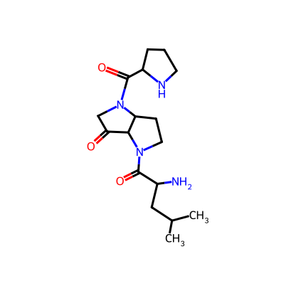 CC(C)CC(N)C(=O)N1CCC2C1C(=O)CN2C(=O)C1CCCN1